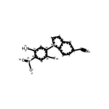 N#Cc1ccc2c(ccn2-c2cc(N)c([N+](=O)[O-])cc2F)c1